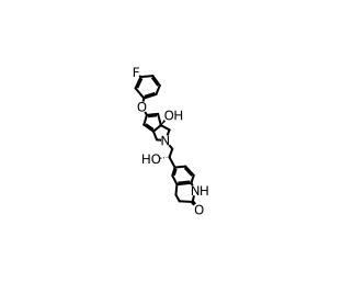 O=C1CCc2cc([C@H](O)CN3CC4=CC(Oc5cccc(F)c5)=C[C@]4(O)C3)ccc2N1